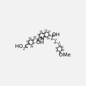 COc1ccc(CCCCC(O)c2ccc3ccc(C(O)Cc4ccc(C(=O)O)cc4)nc3c2)cc1